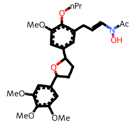 CCCOc1c(C/C=C/N(O)C(C)=O)cc(C2CCC(c3cc(OC)c(OC)c(OC)c3)O2)cc1OC